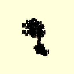 CCN(CCNNC(=O)CCCCCCCNc1cccc2c1C(=O)N(C1CCC(=O)NC1=O)C2=O)/C(N)=C/C=C(\C)c1cc(NC(C)C)c(CN)c(C(=O)NCc2c(C)cc(C)[nH]c2=O)c1